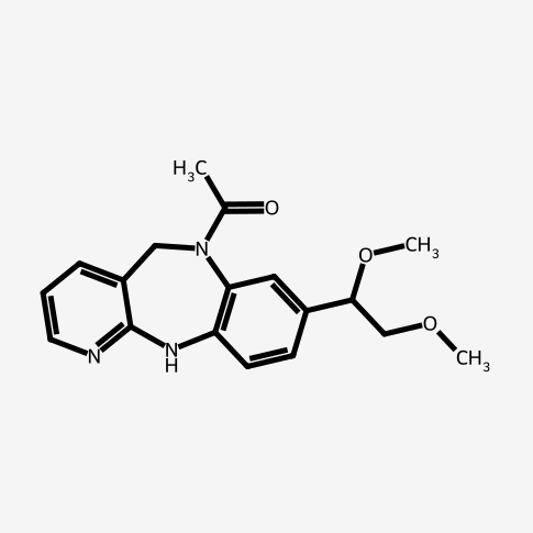 COCC(OC)c1ccc2c(c1)N(C(C)=O)Cc1cccnc1N2